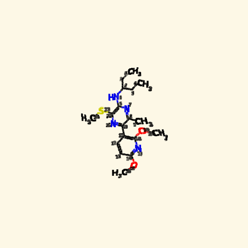 CCC(CC)Nc1nc(C)c(-c2ccc(OC)nc2OC)nc1SC